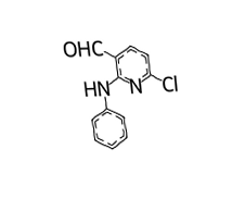 O=Cc1ccc(Cl)nc1Nc1ccccc1